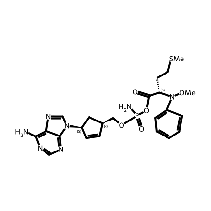 CON(c1ccccc1)[C@@H](CCSC)C(=O)OP(N)(=O)OC[C@H]1C=C[C@@H](n2cnc3c(N)ncnc32)C1